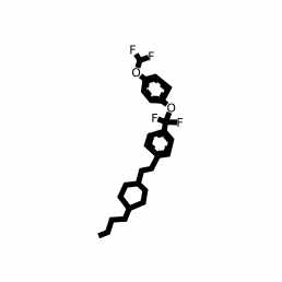 CCCCC1CCC(CCc2ccc(C(F)(F)Oc3ccc(OC(F)F)cc3)cc2)CC1